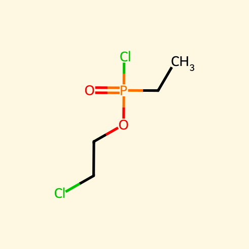 CCP(=O)(Cl)OCCCl